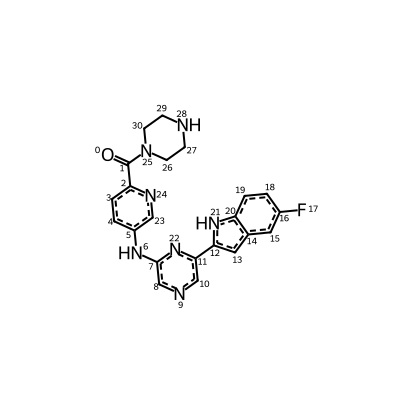 O=C(c1ccc(Nc2cncc(-c3cc4cc(F)ccc4[nH]3)n2)cn1)N1CCNCC1